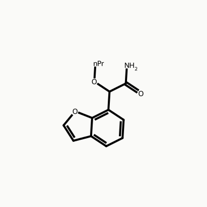 CCCOC(C(N)=O)c1cccc2ccoc12